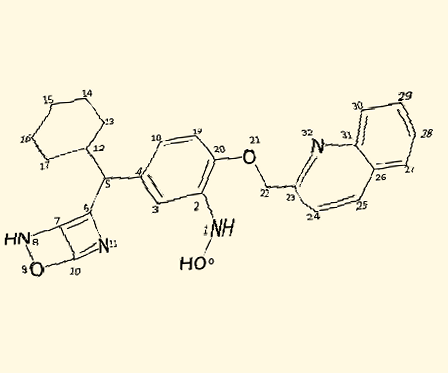 ONc1cc(C(C2=c3[nH]oc3=N2)C2CCCCC2)ccc1OCc1ccc2ccccc2n1